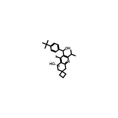 CC(C)c1nc2c(c(I)c1C(O)c1ccc(C(C)(C)C)cc1)[C@@H](O)CC1(CCC1)C2